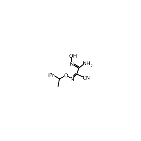 CC(C)C(C)ON=C(C#N)C(N)=NO